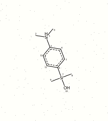 C[SiH](C)c1ccc([Si](C)(C)O)cc1